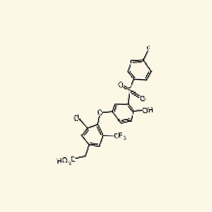 O=C(O)Cc1cc(Cl)c(Oc2ccc(O)c(S(=O)(=O)c3ccc(F)cc3)c2)c(C(F)(F)F)c1